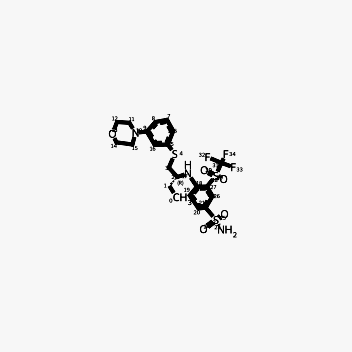 CC[C@H](CSc1cccc(N2CCOCC2)c1)Nc1ccc(S(N)(=O)=O)cc1S(=O)(=O)C(F)(F)F